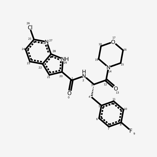 O=C(N[C@@H](Cc1ccc(F)cc1)C(=O)N1CCOCC1)c1cc2ccc(Cl)nc2[nH]1